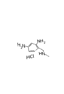 CNCc1ccc(N)cc1N.Cl